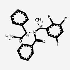 C[C@H](c1cc(F)cc(F)c1F)N(C(=O)c1ccccc1)[C@H](C(N)=O)c1ccccc1